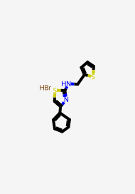 Br.c1ccc(-c2csc(NCc3cccs3)n2)cc1